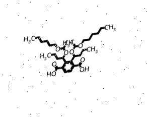 CCCCCCOC(C)OC(CCC)c1c(C(=O)O)ccc(C(=O)O)c1C(CCC)OC(C)OCCCCCC